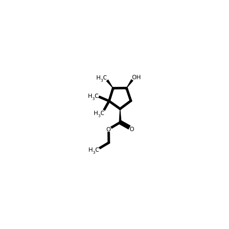 CCOC(=O)[C@@H]1C[C@H](O)[C@H](C)C1(C)C